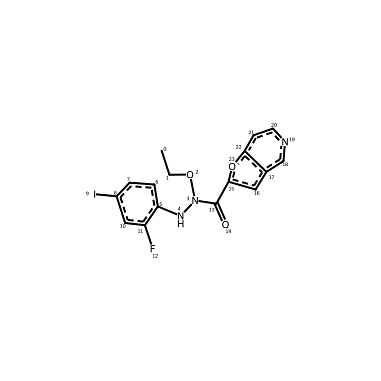 CCON(Nc1ccc(I)cc1F)C(=O)c1cc2cnccc2o1